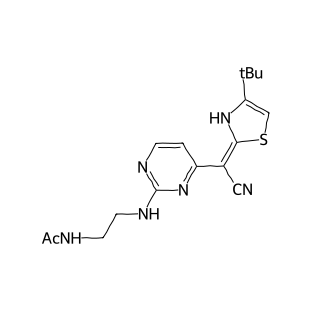 CC(=O)NCCNc1nccc(C(C#N)=C2NC(C(C)(C)C)=CS2)n1